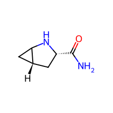 NC(=O)[C@@H]1C[C@@H]2CC2N1